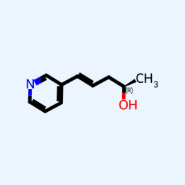 C[C@@H](O)CC=Cc1cccnc1